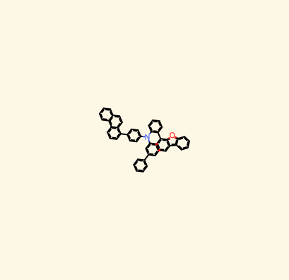 c1ccc(-c2cccc(N(c3ccc(-c4cccc5c4ccc4ccccc45)cc3)c3ccccc3-c3cccc4c3oc3ccccc34)c2)cc1